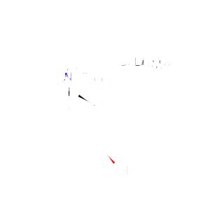 CCN1CCC23C=C[C@H](O)C[C@H]2Oc2c(OC)ccc(c23)C1